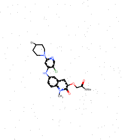 CCC1CCN(c2cc(Nc3ccc4c(c3)cc(OCC(=O)NC)c(=O)n4C)c(Cl)cn2)CC1